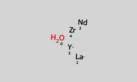 O.[La].[Nd].[Y].[Zr]